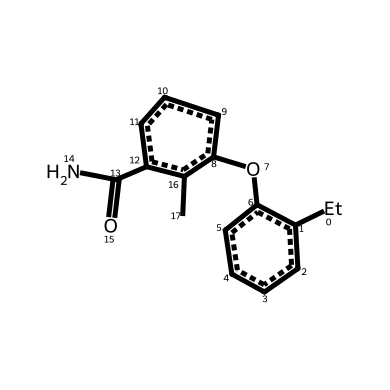 CCc1ccccc1Oc1cccc(C(N)=O)c1C